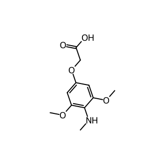 CNc1c(OC)cc(OCC(=O)O)cc1OC